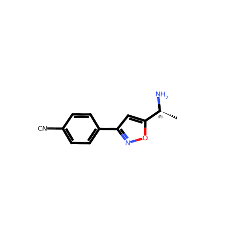 [C-]#[N+]c1ccc(-c2cc([C@@H](C)N)on2)cc1